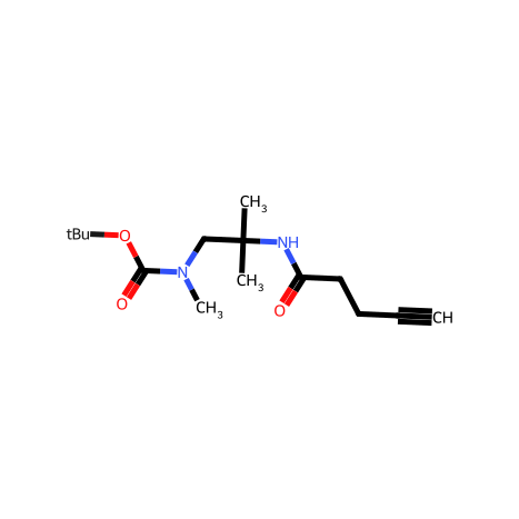 C#CCCC(=O)NC(C)(C)CN(C)C(=O)OC(C)(C)C